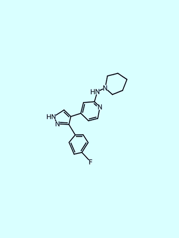 Fc1ccc(-c2n[nH]cc2-c2ccnc(NN3CCCCC3)c2)cc1